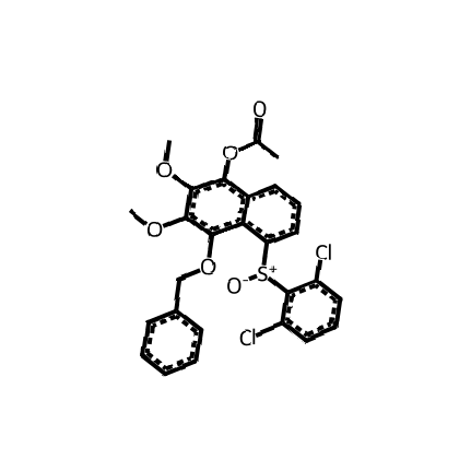 COc1c(OC)c(OCc2ccccc2)c2c([S+]([O-])c3c(Cl)cccc3Cl)cccc2c1OC(C)=O